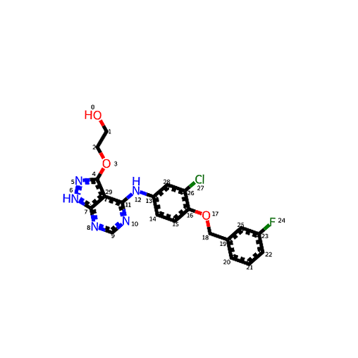 OCCOc1n[nH]c2ncnc(Nc3ccc(OCc4cccc(F)c4)c(Cl)c3)c12